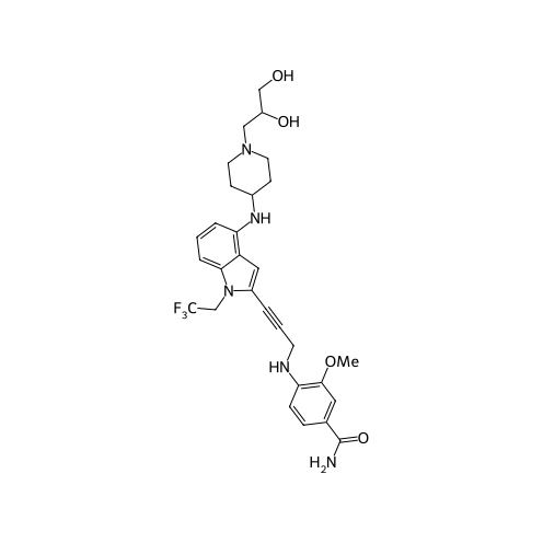 COc1cc(C(N)=O)ccc1NCC#Cc1cc2c(NC3CCN(CC(O)CO)CC3)cccc2n1CC(F)(F)F